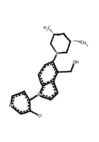 C[C@@H]1C[C@H](C)CN(c2ccc3c(ccn3-c3ccncc3Cl)c2CO)C1